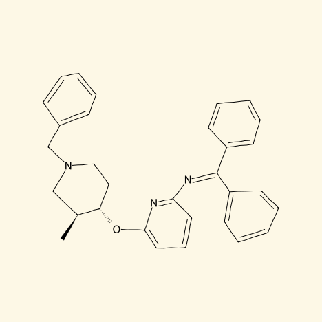 C[C@H]1CN(Cc2ccccc2)CC[C@@H]1Oc1cccc(N=C(c2ccccc2)c2ccccc2)n1